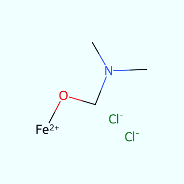 CN(C)C[O][Fe+2].[Cl-].[Cl-]